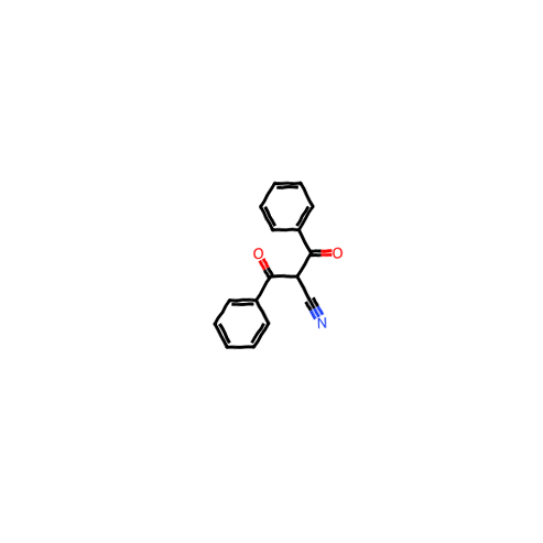 N#CC(C(=O)c1ccccc1)C(=O)c1ccccc1